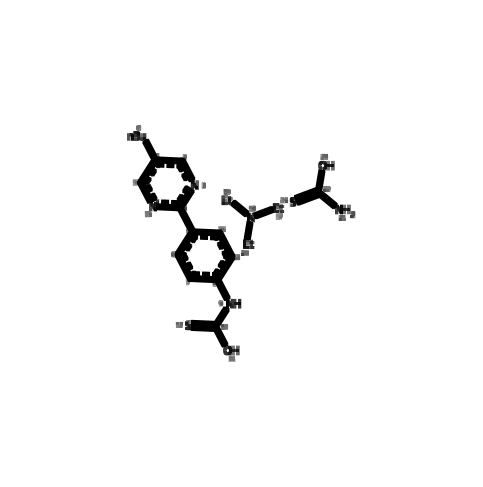 CCCCc1cnc(-c2ccc(NC(O)=S)cc2)nc1.CCN(CC)CC.NC(O)=S